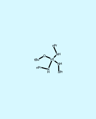 CCC[NH][Hf]([NH]CCC)([NH]CCC)[O]C(C)(C)C